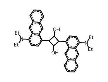 CCN(CC)c1ccc(C2C(O)C(c3ccc(N(CC)CC)c4cc5ccccc5cc34)C2O)c2cc3ccccc3cc12